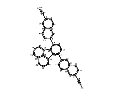 [C-]#[N+]c1ccc2cc(-c3ccc(-c4ccc5cc(C#N)ccc5c4)c4c3-c3cccc5cccc-4c35)ccc2c1